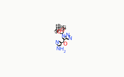 CC(C)(C)[Si](C)(C)OCC(CO[Si](C)(C)C(C)(C)C)n1cc(C(=O)c2cncc(N)c2)c2cncnc21